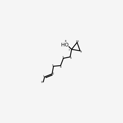 CC=CCCCCC1(O)CC1